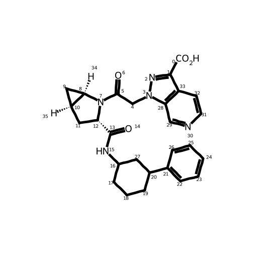 O=C(O)c1nn(CC(=O)N2[C@@H]3C[C@@H]3C[C@H]2C(=O)NC2CCCC(c3ccccc3)C2)c2cnccc12